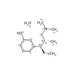 CC[C@@H](c1cccc(O)c1)[C@@H](C)CN(C)C.O